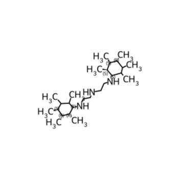 CC1C(C)[C@H](NCCNCCN[C@@H]2C(C)C(C)[C@H](C)[C@@H](C)[C@H]2C)[C@@H](C)[C@@H](C)[C@@H]1C